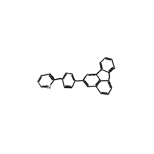 c1ccc(-c2ccc(-c3cc4c5c(cccc5c3)-c3ccccc3-4)cc2)nc1